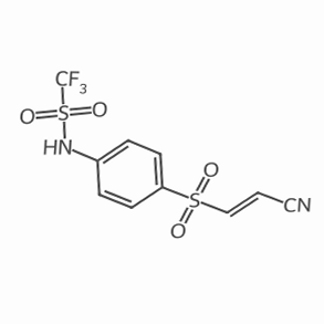 N#CC=CS(=O)(=O)c1ccc(NS(=O)(=O)C(F)(F)F)cc1